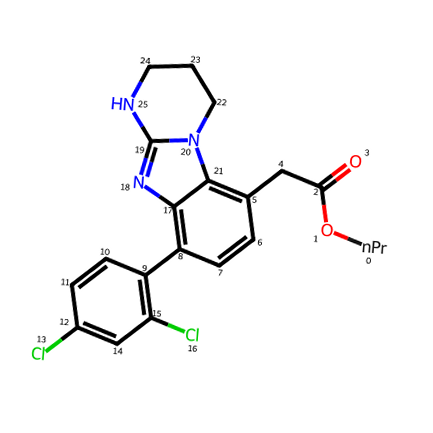 CCCOC(=O)Cc1ccc(-c2ccc(Cl)cc2Cl)c2nc3n(c12)CCCN3